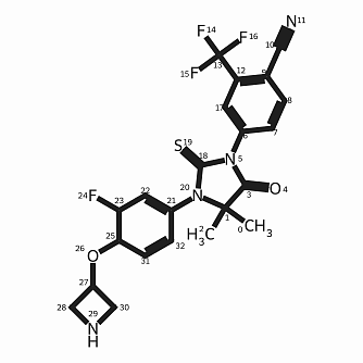 CC1(C)C(=O)N(c2ccc(C#N)c(C(F)(F)F)c2)C(=S)N1C1=CC(F)C(OC2CNC2)C=C1